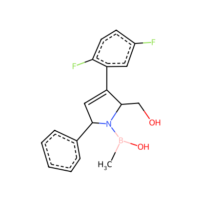 CB(O)N1C(CO)C(c2cc(F)ccc2F)=CC1c1ccccc1